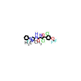 CC1C(NC(=O)c2noc(-c3ccc(OC(F)F)cc3Cl)c2Cl)CN(c2ccccc2F)N1C